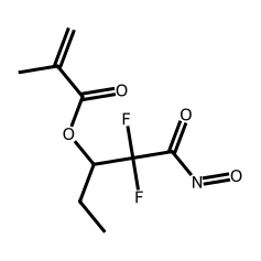 C=C(C)C(=O)OC(CC)C(F)(F)C(=O)N=O